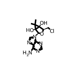 CC1(C)[C@]2(O)[C@@H](CCl)O[C@@H](n3cnc4c(N)ncnc43)[C@]12O